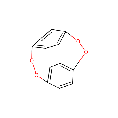 c1cc2ccc1OOc1ccc(cc1)OO2